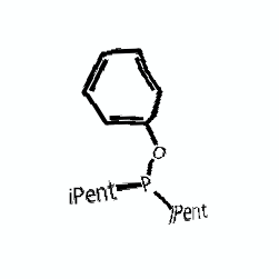 CCCC(C)P(Oc1ccccc1)C(C)CCC